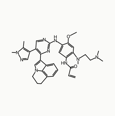 C=CC(=O)Nc1cc(Nc2ncc(-c3cnn(C)c3C)c(-c3cn4c5c(cccc35)CCC4)n2)c(OC)cc1N(C)CCN(C)C